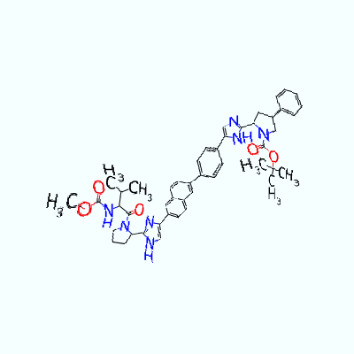 COC(=O)NC(C(=O)N1CCCC1c1nc(-c2ccc3cc(-c4ccc(-c5cnc(C6CC(c7ccccc7)CN6C(=O)OC(C)(C)C)[nH]5)cc4)ccc3c2)c[nH]1)C(C)C